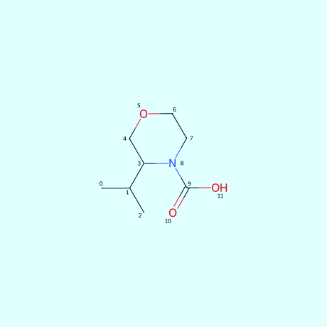 CC(C)C1COCCN1C(=O)O